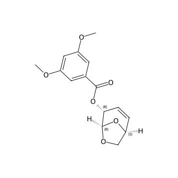 COc1cc(OC)cc(C(=O)O[C@@H]2C=C[C@H]3CO[C@@H]2O3)c1